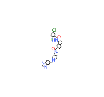 O=C(NC1CCc2ccc(C(=O)N3CCC4(CCN(Cc5ccc6nccnc6c5)CC4)C3)cc21)c1cc(Cl)ccc1F